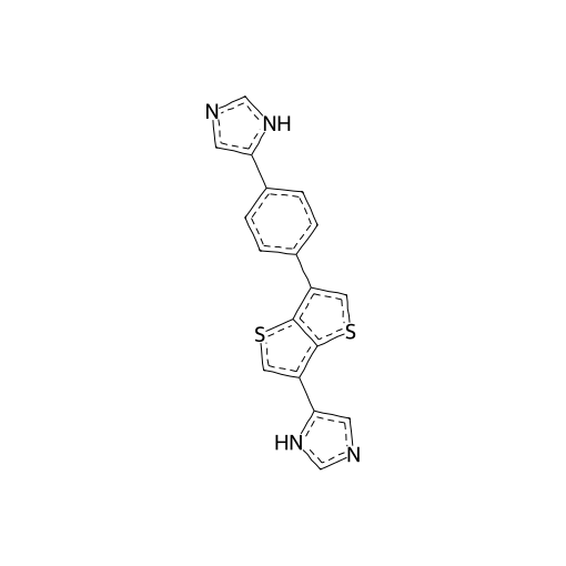 c1ncc(-c2ccc(-c3csc4c(-c5cnc[nH]5)csc34)cc2)[nH]1